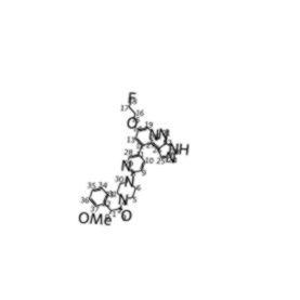 COC(C(=O)N1CCN(c2ccc(-c3cc(OCCF)cn4nc5[nH]ncc5c34)cn2)CC1)c1ccccc1